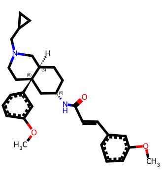 COc1cccc(C=CC(=O)N[C@H]2CC[C@@H]3CN(CC4CC4)CC[C@@]3(c3cccc(OC)c3)C2)c1